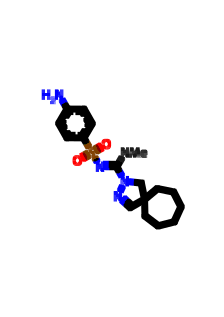 CN/C(=N\S(=O)(=O)c1ccc(N)cc1)N1CC2(C=N1)CCCCCC2